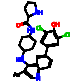 CC(=O)c1cnc2ccc(-c3cc(Cl)c(O)c(Cl)c3)cc2c1NC1CCC(NC(=O)[C@@H]2CCCN2)CC1